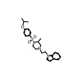 CC(C)Oc1ccc(S(=O)(=O)N2CCN(CCn3ccc4ccccc43)CC2C)cc1